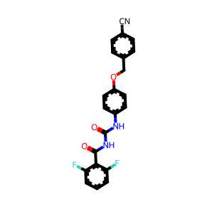 N#Cc1ccc(COc2ccc(NC(=O)NC(=O)c3c(F)cccc3F)cc2)cc1